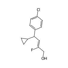 OCC(F)=CC(c1ccc(Cl)cc1)C1CC1